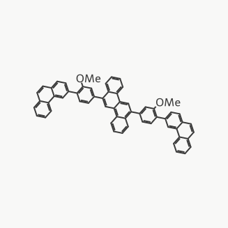 COc1cc(-c2cc3c4ccccc4c(-c4ccc(-c5ccc6ccc7ccccc7c6c5)c(OC)c4)cc3c3ccccc23)ccc1-c1ccc2ccc3ccccc3c2c1